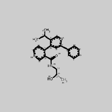 CC(C)c1cnc(-c2ccccc2)cc1-c1ccncc1C(=O)NC[C@H](C)O